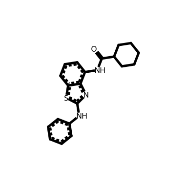 O=C(Nc1cccc2sc(Nc3ccccc3)nc12)C1CCCCC1